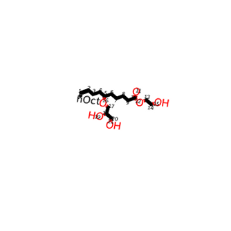 CCCCCCCC/C=C\CCC(CCCCC(=O)OCCO)OCC(O)CO